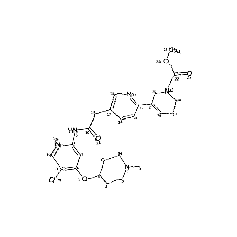 CN1CCC(Oc2cc(NC(=O)Cc3ccc(C4=CCCN(C(=O)OC(C)(C)C)C4)nc3)ncc2Cl)CC1